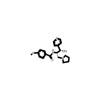 COc1ccc(C(=O)N[C@@H](CN2CCCC2)[C@@H](O)c2ccncc2)cc1